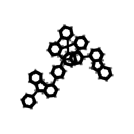 c1ccc(-n2c3ccccc3c3c(-c4ccc(N(c5ccc(-c6cccc7c6oc6ccccc67)cc5)c5cccc6c5C5(c7ccccc7-c7ccccc75)c5ccccc5-6)cc4)cccc32)cc1